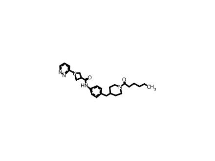 CCCCCC(=O)N1CCC(Cc2ccc(NC(=O)C3CN(c4cccnn4)C3)cc2)CC1